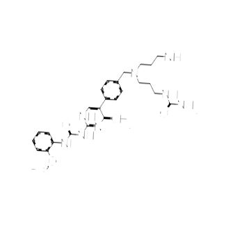 C=C1N=C(NC(=O)Nc2ccccc2OC(F)(F)F)NC=C1c1ccc(CN(CCCN)CCCNC(N)=O)cc1